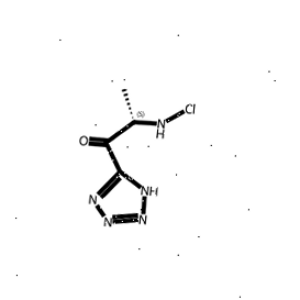 C[C@H](NCl)C(=O)c1nnn[nH]1